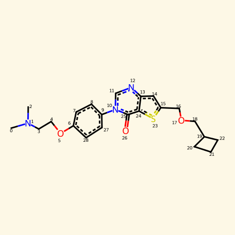 CN(C)CCOc1ccc(-n2cnc3cc(COCC4CCC4)sc3c2=O)cc1